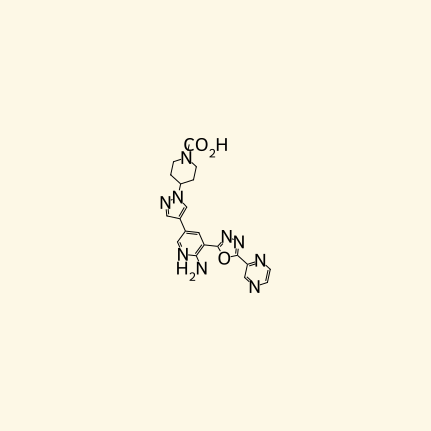 Nc1ncc(-c2cnn(C3CCN(C(=O)O)CC3)c2)cc1-c1nnc(-c2cnccn2)o1